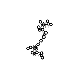 c1ccc(C2=NC(c3cc(-c4cccc5c4oc4cc(-c6ccc(-c7ccc(-c8nc(-c9ccc%10ccccc%10c9)nc(-c9cc(-c%10cccc%11c%10oc%10ccccc%10%11)cc%10oc%11ccccc%11c9%10)n8)cc7)cc6)ccc45)cc4oc5ccccc5c34)NC(c3cc4ccccc4c4ccccc34)=N2)cc1